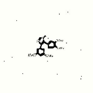 COc1cc(OC)cc(-c2ncn(C)c2-c2ccc(OC)c(OC)c2)c1